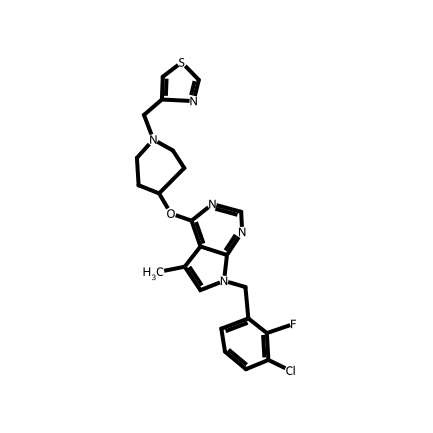 Cc1cn(Cc2cccc(Cl)c2F)c2ncnc(OC3CCN(Cc4cscn4)CC3)c12